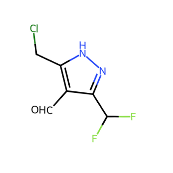 O=Cc1c(C(F)F)n[nH]c1CCl